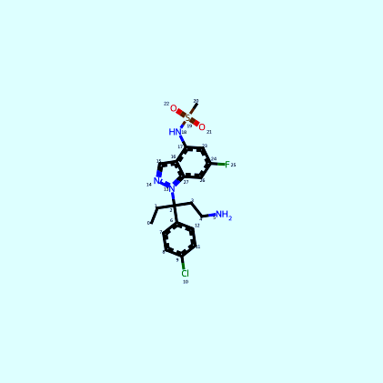 CCC(CCN)(c1ccc(Cl)cc1)n1ncc2c(NS(C)(=O)=O)cc(F)cc21